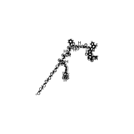 COCCOCCOCCOCCOCCOCCOCCOCCNC(=O)[C@H](CCC(=O)NCC(=O)NCC(=O)N[C@@H](Cc1ccccc1)C(=O)NCC(=O)NCOCC(=O)NCc1c2c(nc3cc(F)c4c(c13)CCC4)-c1cc3c(c(=O)n1C2)COC(=O)[C@]3(O)CC1CC1)NC(=O)CCCC#Cc1cnc(S(C)(=O)=O)nc1